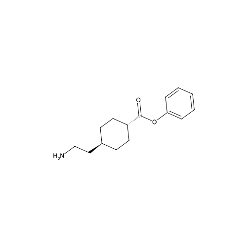 NCC[C@H]1CC[C@H](C(=O)Oc2ccccc2)CC1